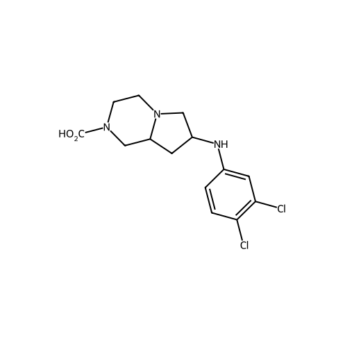 O=C(O)N1CCN2CC(Nc3ccc(Cl)c(Cl)c3)CC2C1